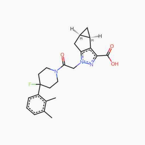 Cc1cccc(C2(F)CCN(C(=O)Cn3nc(C(=O)O)c4c3C[C@H]3C[C@@H]43)CC2)c1C